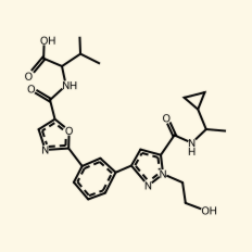 CC(C)C(NC(=O)c1cnc(-c2cccc(-c3cc(C(=O)NC(C)C4CC4)n(CCO)n3)c2)o1)C(=O)O